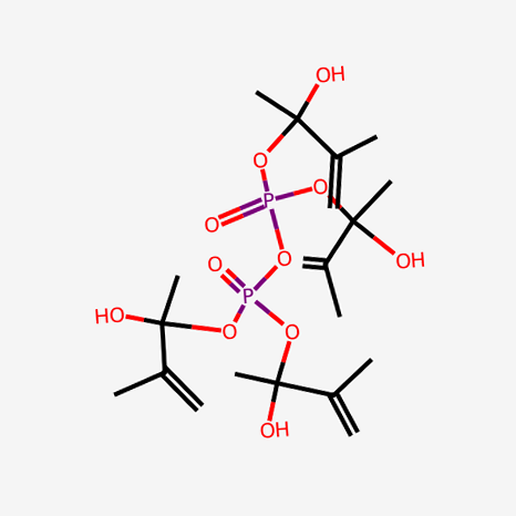 C=C(C)C(C)(O)OP(=O)(OC(C)(O)C(=C)C)OP(=O)(OC(C)(O)C(=C)C)OC(C)(O)C(=C)C